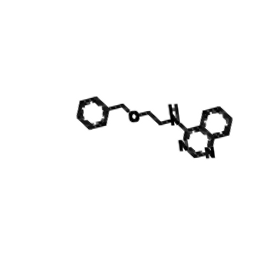 c1ccc(COCCNc2ncnc3ccccc23)cc1